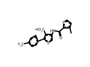 Cc1ccsc1C(=O)Nc1csc(-c2ccc(C(F)(F)F)cc2)c1C(=O)O